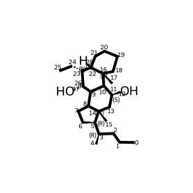 CCC[C@@H](C)[C@H]1CCC2C3C([C@@H](O)C[C@@]21C)[C@@]1(C)CCCC[C@H]1[C@@H](CC)[C@H]3O